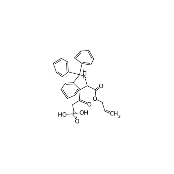 C=CCOC(=O)C(CC(=O)CP(=O)(O)O)NC(c1ccccc1)(c1ccccc1)c1ccccc1